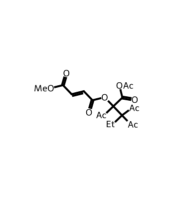 CCC(C(C)=O)(C(C)=O)C(OC(=O)C=CC(=O)OC)(C(C)=O)C(=O)OC(C)=O